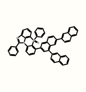 O=P1(c2ccccc2)c2c(-c3cc(-c4ccc5ccccc5c4)c4cc(-c5ccc6ccccc6c5)ccc4c3)cccc2-n2c(-c3ccccc3)nc3cccc1c32